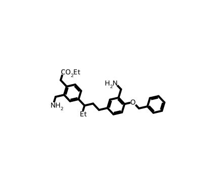 CCOC(=O)Cc1ccc(C(CC)CCc2ccc(OCc3ccccc3)c(CN)c2)cc1CN